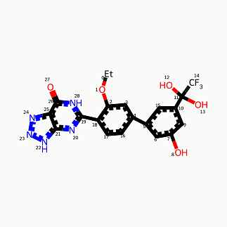 CCOc1cc(-c2cc(O)cc(C(O)(O)C(F)(F)F)c2)ccc1-c1nc2[nH]nnc2c(=O)[nH]1